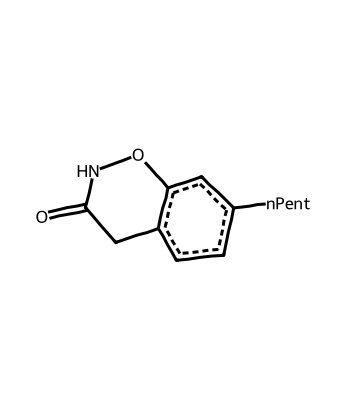 CCCCCc1ccc2c(c1)ONC(=O)C2